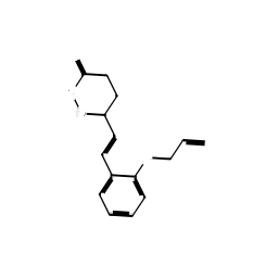 C=CCSc1ccccc1/C=C/C1CCC(=O)NN1